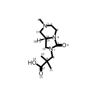 CN1CCN2C(=O)N(CC(C)(C)C(=O)O)C[C@@H]2C1